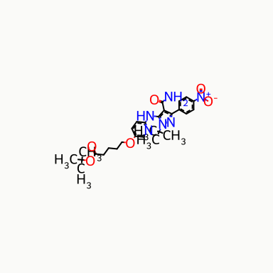 CC(C)(C)OC(=O)CCCCOc1ccc(Nc2c(C(N)=O)c(-c3ccc([N+](=O)[O-])cc3)nn2C(C)(C)C)nc1